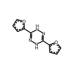 c1coc(C2=NNC(c3ccco3)=NN2)c1